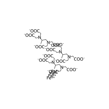 CC(CN(CC(=O)[O-])CC(=O)[O-])N(CC(=O)[O-])CC(=O)[O-].CC(CN(CC(=O)[O-])CC(=O)[O-])N(CC(=O)[O-])CC(=O)[O-].CC(CN(CC(=O)[O-])CC(=O)[O-])N(CC(=O)[O-])CC(=O)[O-].[Fe+3].[Fe+3].[Fe+3].[Fe+3]